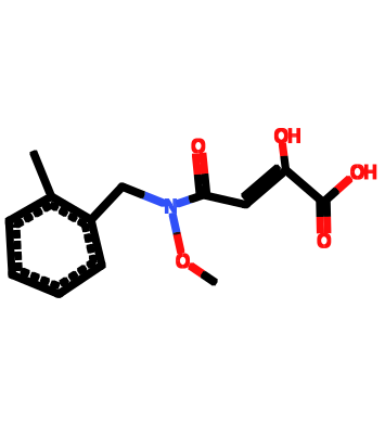 CON(Cc1ccccc1C)C(=O)C=C(O)C(=O)O